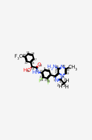 [2H]C([2H])([2H])c1nc(-c2ccc(NC(=O)C(O)c3cccc(C(F)(F)F)c3)c(F)c2F)c2c(N)nc(C)cn12